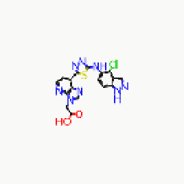 O=C(O)Cn1cnc2c(-c3nnc(Nc4ccc5[nH]ncc5c4Cl)s3)ccnc21